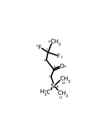 CC(F)(F)CC(=O)C[Si](C)(C)C